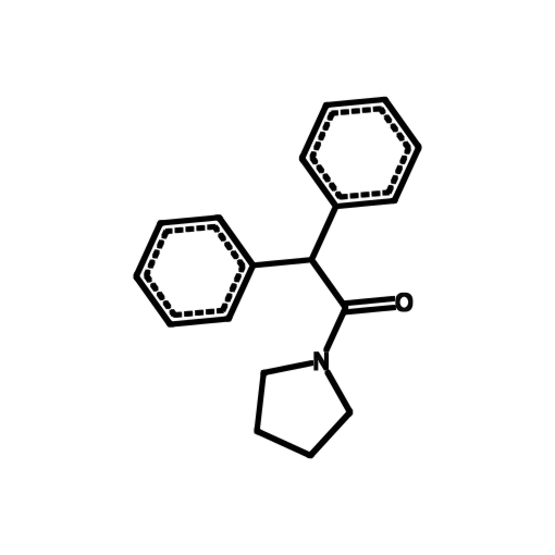 O=C(C(c1ccccc1)c1ccccc1)N1CCCC1